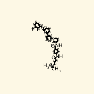 CN(C)C/C=C/C(=O)Nc1ccc(C(=O)NC2CCCN(c3cc(-c4cccc(NCc5cccc(F)c5)n4)ccn3)C2)cc1